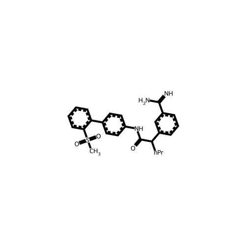 CCCC(C(=O)Nc1ccc(-c2ccccc2S(C)(=O)=O)cc1)c1cccc(C(=N)N)c1